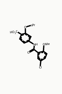 CCCOc1cc(NC(=O)c2cc(Cl)ccc2OC)ccc1C(=O)O